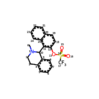 CN1CCc2ccccc2C1c1c(OS(=O)(=O)C(F)(F)F)ccc2ccccc12